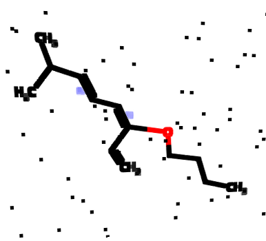 C=C/C(=C\C=C\C(C)C)OCCCC